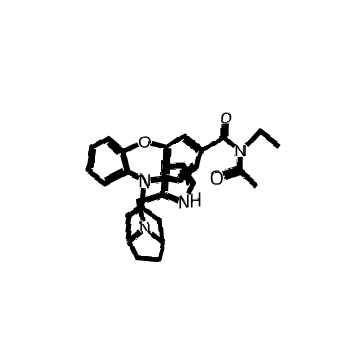 CCN(C(C)=O)C(=O)c1ccc2c(c1)Oc1ccccc1N2C1CC2CCC(C1)N2Cc1ncc[nH]1